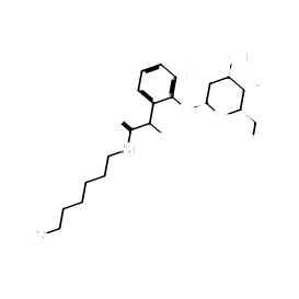 NCCCCCCNC(=O)C(F)c1ccccc1O[C@@H]1O[C@H](CO)[C@@H](O)[C@H](O)[C@H]1O